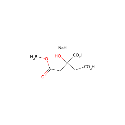 BOC(=O)CC(O)(CC(=O)O)C(=O)O.[NaH]